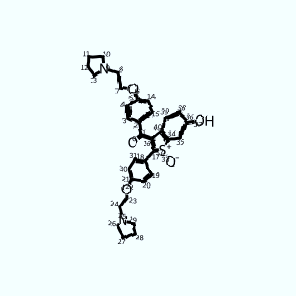 O=C(c1ccc(OCCN2CCCC2)cc1)c1c(-c2ccc(OCCN3CCCC3)cc2)[s+]([O-])c2cc(O)ccc12